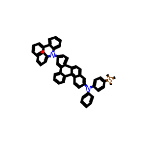 CS(C)(C)c1ccc(N(c2ccccc2)c2ccc3c(ccc4c5ccc(N(c6ccccc6)c6ccccc6-c6ccccc6)cc5c5ccccc5c34)c2)cc1